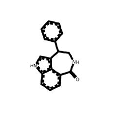 O=C1NCC(c2ccccc2)c2c[nH]c3cccc1c23